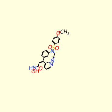 COc1ccc(S(=O)(=O)N(CC#N)c2cccc(C(=CC(=O)NO)c3cccnc3)c2)cc1